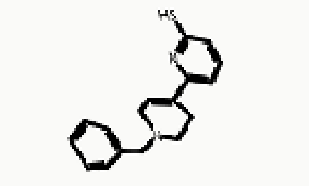 Sc1cccc(C2=CCN(Cc3ccccc3)CC2)n1